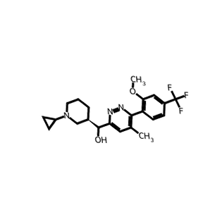 COc1cc(C(F)(F)F)ccc1-c1nnc(C(O)[C@@H]2CCCN(C3CC3)C2)cc1C